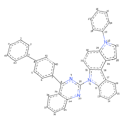 c1ccc(-c2ccc(-c3nc(-n4c5ccccc5c5c6ccn(-c7ccccc7)c6ccc54)nc4ccccc34)cc2)cc1